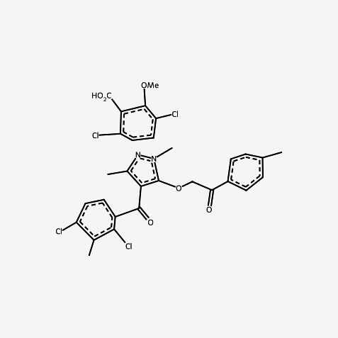 COc1c(Cl)ccc(Cl)c1C(=O)O.Cc1ccc(C(=O)COc2c(C(=O)c3ccc(Cl)c(C)c3Cl)c(C)nn2C)cc1